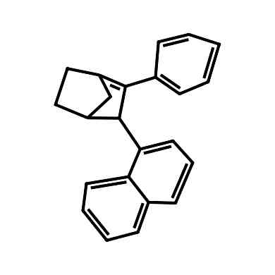 c1ccc(C2=C3CCC(C3)C2c2cccc3ccccc23)cc1